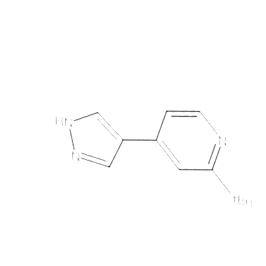 CC(C)(C)c1cc(-c2cn[nH]c2)ccn1